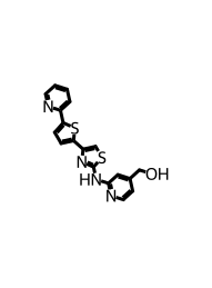 OCc1ccnc(Nc2nc(-c3ccc(-c4ccccn4)s3)cs2)c1